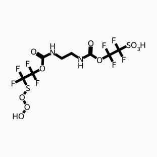 O=C(NCCNC(=O)OC(F)(F)C(F)(F)S(=O)(=O)O)OC(F)(F)C(F)(F)SOOO